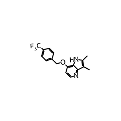 Cc1[nH]c2c(OCc3ccc(C(F)(F)F)cc3)ccnc2c1C